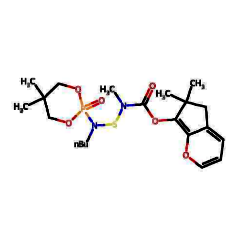 CCCCN(SN(C)C(=O)OC1=C2OC=CC=C2CC1(C)C)P1(=O)OCC(C)(C)CO1